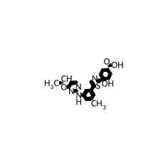 Cc1cc(Nc2nccc(OC(C)C)n2)cc(-c2cnc([C@]3(O)CC[C@H](C(=O)O)CC3)s2)c1